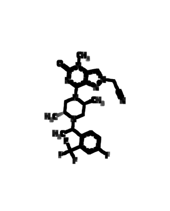 CC(c1ccc(F)cc1C(F)(F)F)N1C[C@H](C)N(c2nc(=O)n(C)c3cn(CC#N)nc23)C[C@H]1C